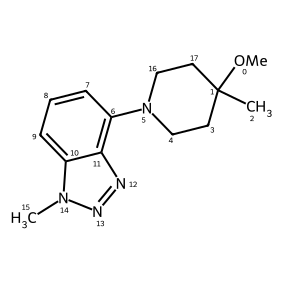 COC1(C)CCN(c2cccc3c2nnn3C)CC1